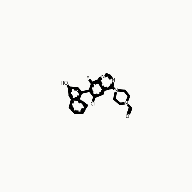 O=CN1CCN(c2ncnc3c(F)c(-c4cc(O)cc5ccccc45)c(Cl)cc23)CC1